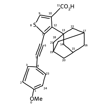 COc1ccc(C#Cc2scc(C(=O)O)c2C23CC4CC(CC(C4)C2)C3)cc1